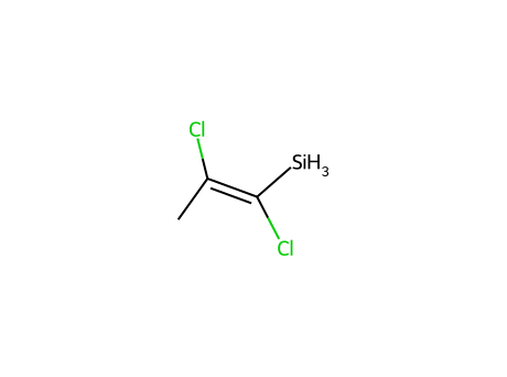 CC(Cl)=C([SiH3])Cl